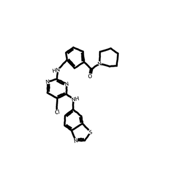 O=C(c1cccc(Nc2ncc(Cl)c(Nc3ccc4ncsc4c3)n2)c1)N1CCCCC1